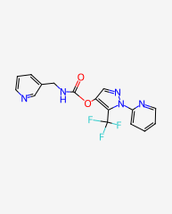 O=C(NCc1cccnc1)Oc1cnn(-c2ccccn2)c1C(F)(F)F